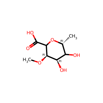 CO[C@H]1C(C(=O)O)O[C@H](C)C(O)[C@H]1O